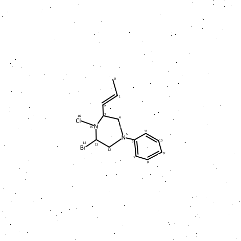 CC=CC1CN(c2ccccc2)CC(Br)N1Cl